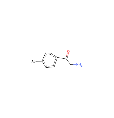 CC(=O)c1ccc(C(=O)CN)cc1